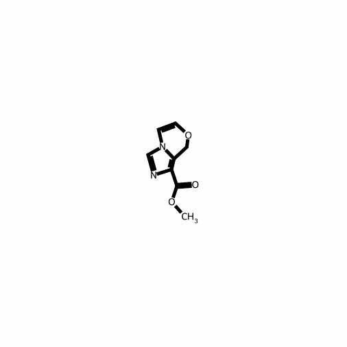 COC(=O)c1ncn2c1COC=C2